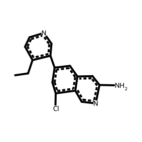 CCc1ccncc1-c1cc(Cl)c2cnc(N)cc2c1